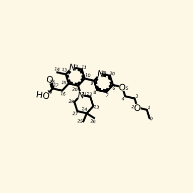 CCOCCOc1ccc(-c2cnc(C)c(CC(=O)O)c2N2CCC(C)(C)CC2)nc1